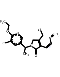 C=N/C=C\C1=C(CCl)CN(C(C)c2cnc(OCC(F)(F)F)c(Cl)c2)C1=O